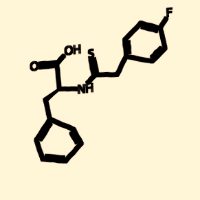 O=C(O)[C@H](Cc1ccccc1)NC(=S)Cc1ccc(F)cc1